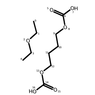 CCOCC.O=C(O)OCCCCOC(=O)O